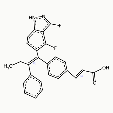 CC/C(=C(/c1ccc(/C=C/C(=O)O)cc1)c1ccc2[nH]nc(F)c2c1F)c1ccccc1